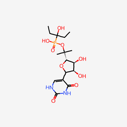 CCC(O)(CC)P(=O)(O)OC(C)(C)[C@H]1OC(c2c[nH]c(=O)[nH]c2=O)[C@H](O)[C@@H]1O